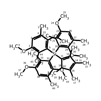 COc1cc(C)c(OC)c([Si](C2=C(C)C(C)=C(C)C2C)(c2c(C)c(OC)cc(C)c2OC)c2c(C)c(OC)cc(C)c2OC)c1C